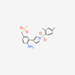 Cc1ccc(S(=O)(=O)n2ccc(-c3cc(CS(C)(=O)=O)ccc3N)c2)c(C)c1